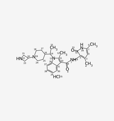 Cc1cc(C)c(CNC(=O)c2c(C)n(C(C)C3CCN(C4CNC4)CC3)c3ccccc23)c(=O)[nH]1.Cl